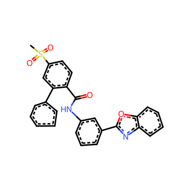 CS(=O)(=O)c1ccc(C(=O)Nc2cccc(-c3nc4ccccc4o3)c2)c(-c2ccccc2)c1